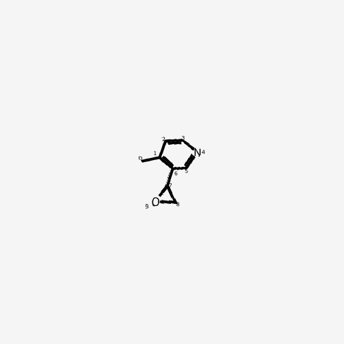 Cc1ccncc1C1CO1